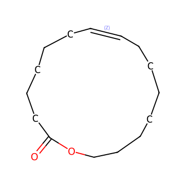 O=C1CCCCC/C=C\CCCCCCCO1